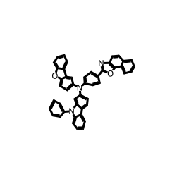 c1ccc(-n2c3ccccc3c3ccc(N(c4ccc(-c5nc6ccc7ccccc7c6o5)cc4)c4ccc5oc6ccccc6c5c4)cc32)cc1